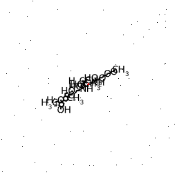 CCC1CC(O)CCC1(C)C1CCC2(C)C(CCC2OC(O)CCCC(O)NC(CCCCNC(O)CCOCCOCCOC)C(O)C(C)(C)CC)C1